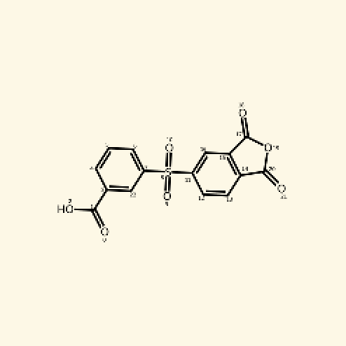 O=C(O)c1cccc(S(=O)(=O)c2ccc3c(c2)C(=O)OC3=O)c1